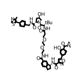 Cc1ncsc1-c1ccc(CNC(=O)[C@@H]2C[C@@H](O)CN2C(=O)[C@@H](NC(=O)CCOCCOCCNC(=O)c2ccc3c(c2)[C@H](NC(=O)c2cc(-c4ccc(C(=O)N(C)C)c(O)c4)on2)CC3)C(C)(C)C)cc1